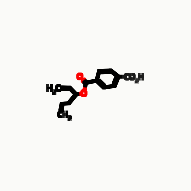 C=CCC(C=C)OC(=O)c1ccc(C(=O)O)cc1